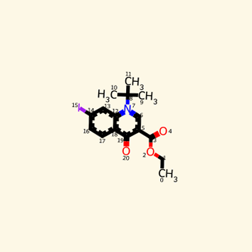 CCOC(=O)c1cn(C(C)(C)C)c2cc(I)ccc2c1=O